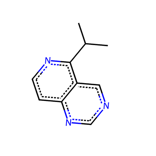 CC(C)c1nccc2ncncc12